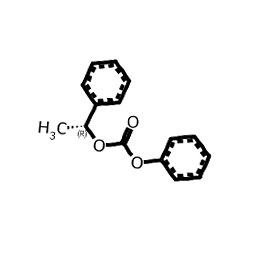 C[C@@H](OC(=O)Oc1ccccc1)c1ccccc1